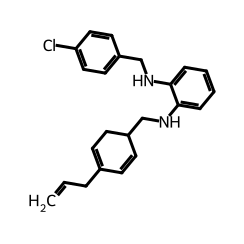 C=CCC1=CCC(CNc2ccccc2NCc2ccc(Cl)cc2)C=C1